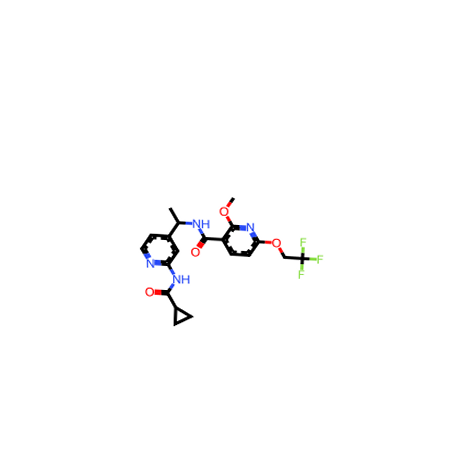 COc1nc(OCC(F)(F)F)ccc1C(=O)NC(C)c1ccnc(NC(=O)C2CC2)c1